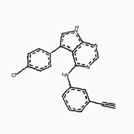 C#Cc1cccc(Nc2ncnc3[nH]cc(-c4ccc(Cl)cc4)c23)c1